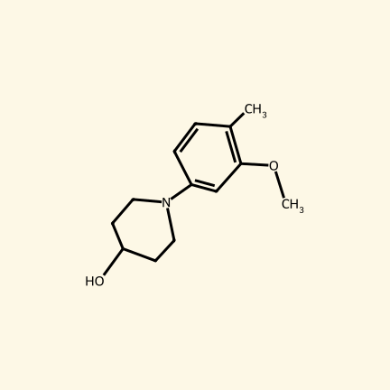 COc1cc(N2CCC(O)CC2)ccc1C